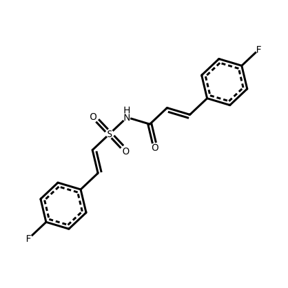 O=C(C=Cc1ccc(F)cc1)NS(=O)(=O)C=Cc1ccc(F)cc1